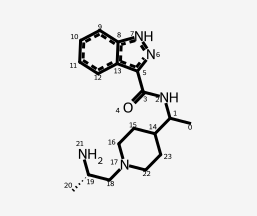 CC(NC(=O)c1n[nH]c2ccccc12)C1CCN(C[C@H](C)N)CC1